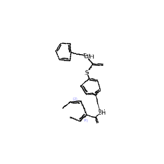 C=C(Bc1ccccc1)Sc1ccc(BC(=C)C(/C=C\C)=C/C)cc1